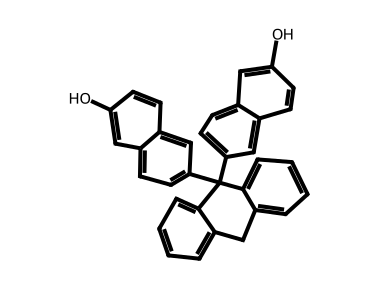 Oc1ccc2cc(C3(c4ccc5cc(O)ccc5c4)c4ccccc4Cc4ccccc43)ccc2c1